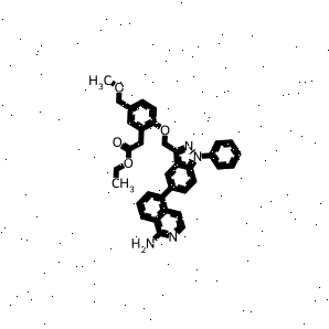 CCOC(=O)Cc1cc(COC)ccc1OCc1nn(-c2ccccc2)c2ccc(-c3cccc4c(N)nccc34)cc12